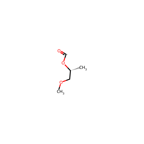 COC[C@@H](C)O[C]=O